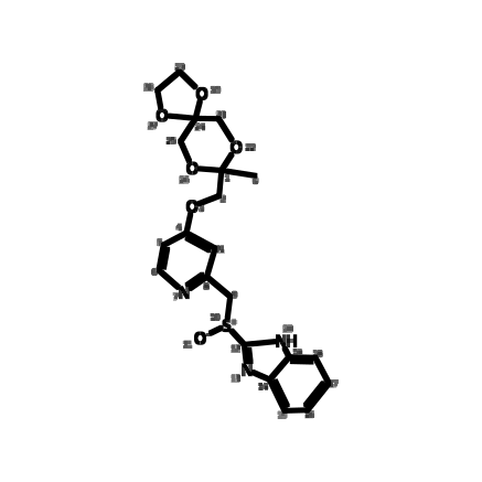 CC1(COc2ccnc(C[S+]([O-])c3nc4ccccc4[nH]3)c2)OCC2(CO1)OCCO2